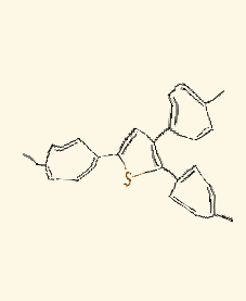 Cc1ccc(-c2cc(-c3ccc(C)cc3)c(-c3ccc(C)cc3)s2)cc1